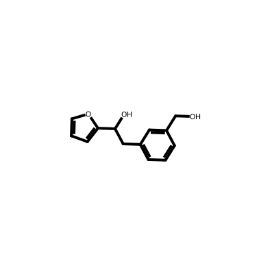 OCc1cccc(CC(O)c2ccco2)c1